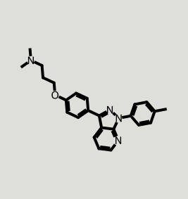 Cc1ccc(-n2nc(-c3ccc(OCCCN(C)C)cc3)c3cccnc32)cc1